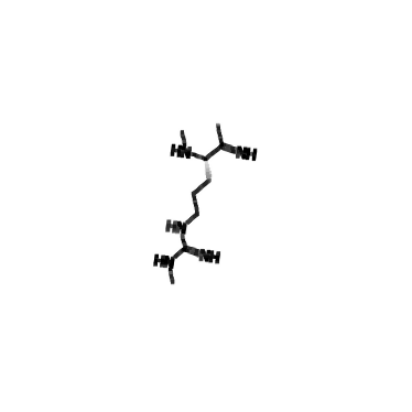 CNC(=N)NCCC[C@H](NC)C(C)=N